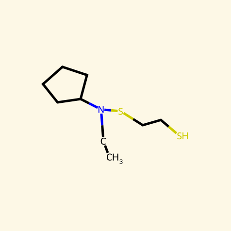 CCN(SCCS)C1CCCC1